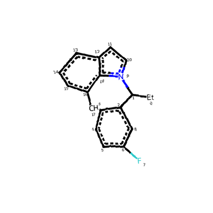 CCC(c1cccc(F)c1)n1ccc2cccc(C)c21